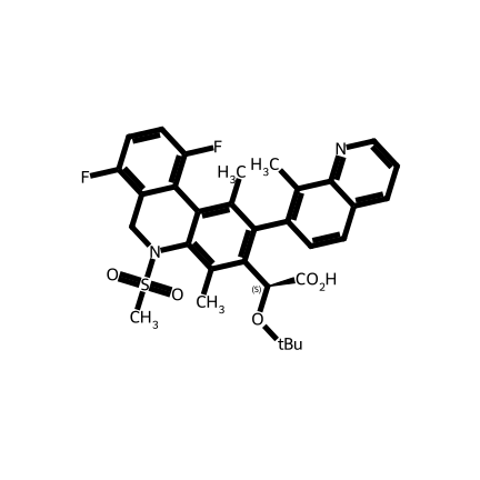 Cc1c(-c2ccc3cccnc3c2C)c([C@H](OC(C)(C)C)C(=O)O)c(C)c2c1-c1c(F)ccc(F)c1CN2S(C)(=O)=O